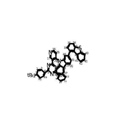 CC(C)(C)c1ccc(-c2nc(-c3ccccc3)nc(-c3cnccc3-n3c4ccccc4c4ccc(-c5cccc6sc7ccccc7c56)cc43)n2)cc1